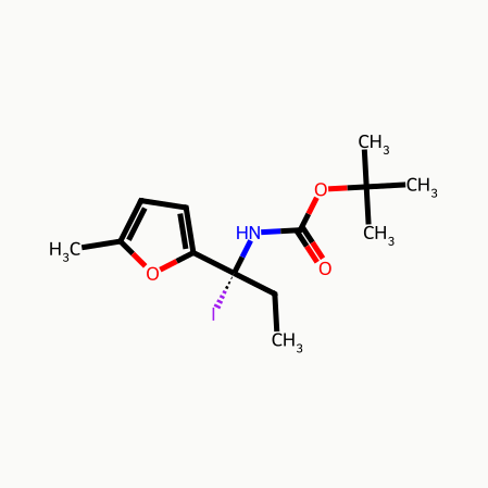 CC[C@](I)(NC(=O)OC(C)(C)C)c1ccc(C)o1